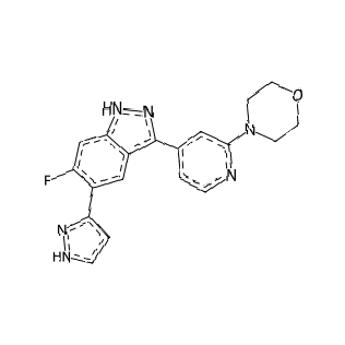 Fc1cc2[nH]nc(-c3ccnc(N4CCOCC4)c3)c2cc1-c1cc[nH]n1